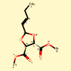 CC(=O)OC/C=C/C1O[C@H](C(=O)OC(C)C)[C@@H](C(=O)OC(C)C)O1